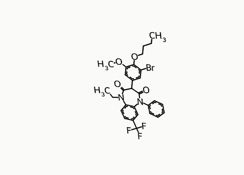 CCCCOc1c(Br)cc(C2C(=O)N(CC)c3ccc(C(F)(F)F)cc3N(c3ccccc3)C2=O)cc1OC